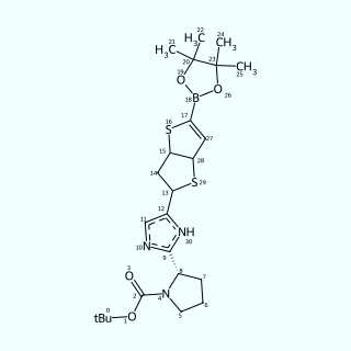 CC(C)(C)OC(=O)N1CCC[C@H]1c1ncc(C2CC3SC(B4OC(C)(C)C(C)(C)O4)=CC3S2)[nH]1